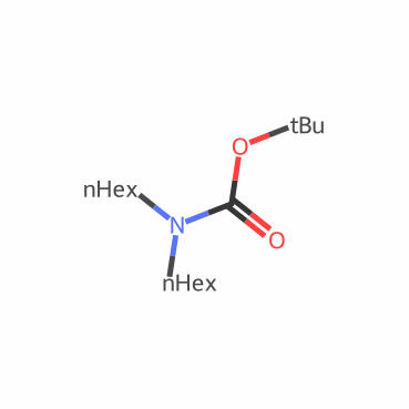 CCCCCCN(CCCCCC)C(=O)OC(C)(C)C